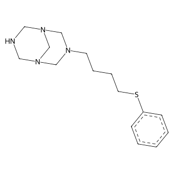 c1ccc(SCCCCN2CN3CNCN(C2)C3)cc1